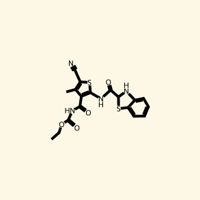 CCOC(=O)NC(=O)c1c(NC(=O)C2Nc3ccccc3S2)sc(C#N)c1C